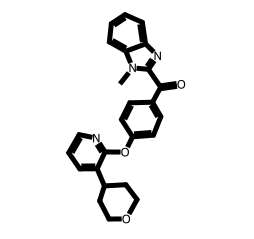 Cn1c(C(=O)c2ccc(Oc3ncccc3C3CCOCC3)cc2)nc2ccccc21